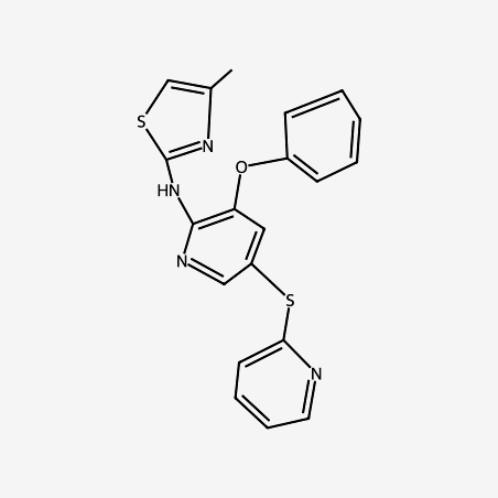 Cc1csc(Nc2ncc(Sc3ccccn3)cc2Oc2ccccc2)n1